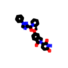 O=C1CCC(N2Cc3cc(OC[C@H]4CCCCN4C(=O)c4ncn(-c5ccccc5)n4)ccc3C2=O)C(=O)N1